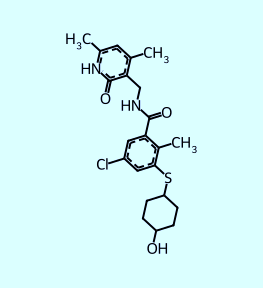 Cc1cc(C)c(CNC(=O)c2cc(Cl)cc(SC3CCC(O)CC3)c2C)c(=O)[nH]1